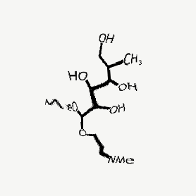 CNCCOC(OC)C(O)C(O)C(O)C(C)CO